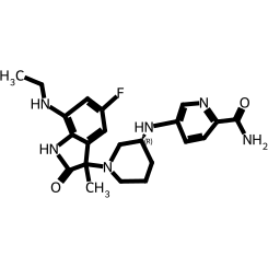 CCNc1cc(F)cc2c1NC(=O)C2(C)N1CCC[C@@H](Nc2ccc(C(N)=O)nc2)C1